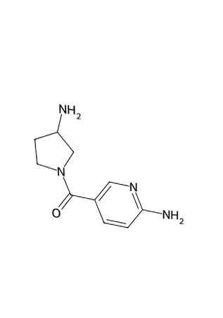 Nc1ccc(C(=O)N2CCC(N)C2)cn1